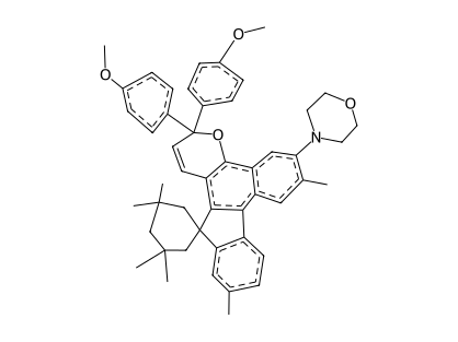 COc1ccc(C2(c3ccc(OC)cc3)C=Cc3c4c(c5cc(C)c(N6CCOCC6)cc5c3O2)-c2ccc(C)cc2C42CC(C)(C)CC(C)(C)C2)cc1